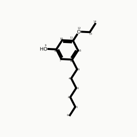 CCCCCCc1cc(O)cc(OCC)c1